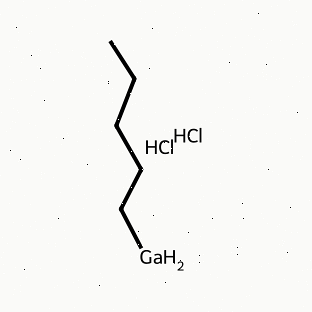 CCCC[CH2][GaH2].Cl.Cl